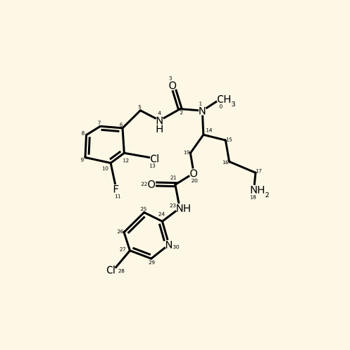 CN(C(=O)NCc1cccc(F)c1Cl)C(CCCN)COC(=O)Nc1ccc(Cl)cn1